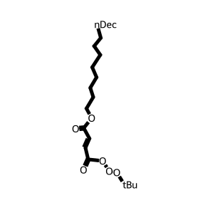 CCCCCCCCCCCCCCCCCCOC(=O)/C=C/C(=O)OOOC(C)(C)C